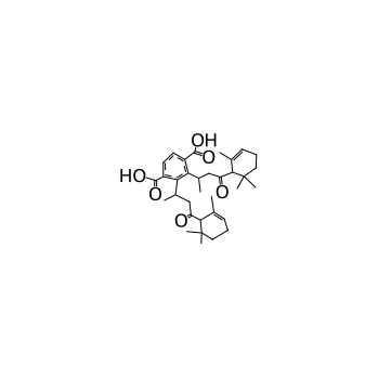 CC1=CCCC(C)(C)C1C(=O)CC(C)c1c(C(=O)O)ccc(C(=O)O)c1C(C)CC(=O)C1C(C)=CCCC1(C)C